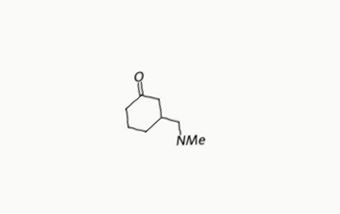 CNCC1CCCC(=O)C1